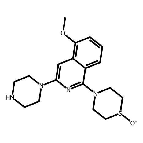 COc1cccc2c(N3CC[S+]([O-])CC3)nc(N3CCNCC3)cc12